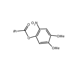 COc1cc(OC(=O)C(C)C)c([N+](=O)[O-])cc1OC